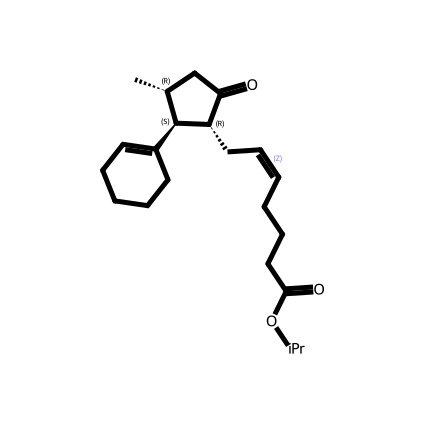 CC(C)OC(=O)CCC/C=C\C[C@H]1C(=O)C[C@@H](C)[C@@H]1C1=CCCCC1